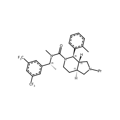 Cc1ccccc1[C@H]1[C@@H]2CN(C(C)C)C[C@H]2CCN1C(=O)N(C)[C@H](C)c1cc(C(F)(F)F)cc(C(F)(F)F)c1